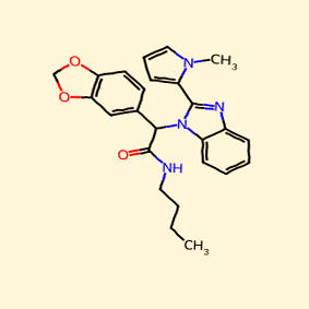 CCCCNC(=O)C(c1ccc2c(c1)OCO2)n1c(-c2cccn2C)nc2ccccc21